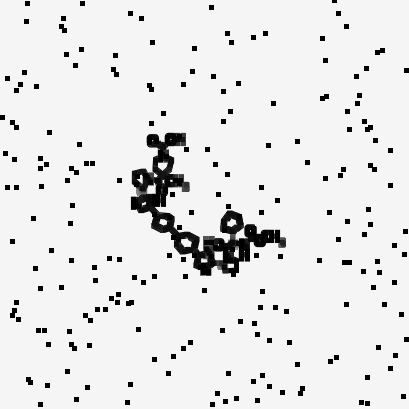 COC(=O)N[C@@H](C(=O)N1CCC[C@H]1c1ncc(-c2ccc(-c3ccc(-c4cnc([C@@H]5CCCN5C(=O)C5(C)CCN(C(=O)O)CC5)[nH]4)cc3)cc2)[nH]1)c1ccccc1